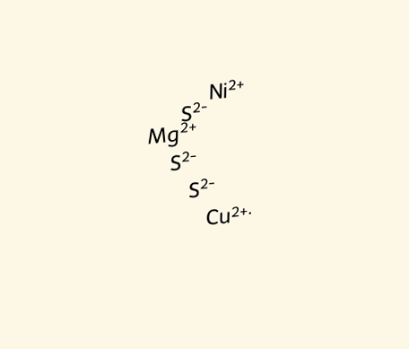 [Cu+2].[Mg+2].[Ni+2].[S-2].[S-2].[S-2]